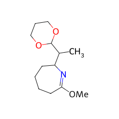 COC1=NC(C(C)C2OCCCO2)CCCC1